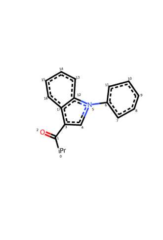 CC(C)C(=O)c1cn(-c2ccccc2)c2ccccc12